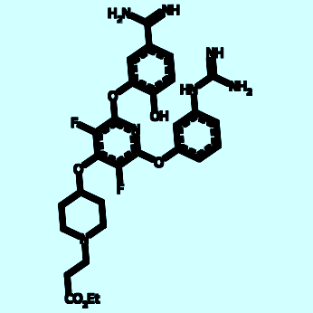 CCOC(=O)CCN1CCC(Oc2c(F)c(Oc3cccc(NC(=N)N)c3)nc(Oc3cc(C(=N)N)ccc3O)c2F)CC1